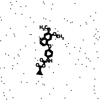 COc1cc2nccc(Oc3ccc(NC(=O)OC(=O)C4CC4)cc3)c2cc1OC